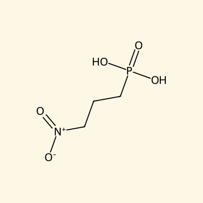 O=[N+]([O-])CCCP(=O)(O)O